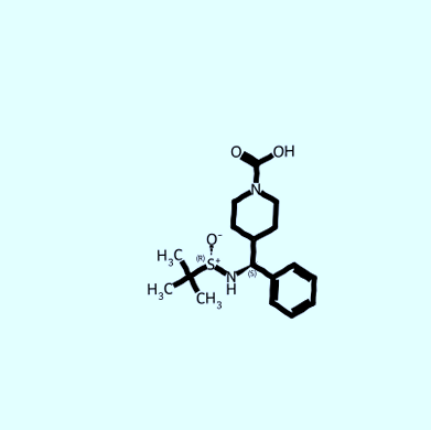 CC(C)(C)[S@+]([O-])N[C@H](c1ccccc1)C1CCN(C(=O)O)CC1